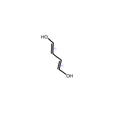 O/C=C/C=C/O